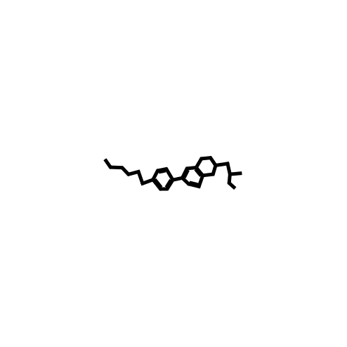 CCCCCCc1ccc(-c2ccc3c(c2)CCC(CC(C)CC)C3)cc1